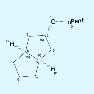 CCCCCO[C@@H]1C[C@H]2CCC[C@H]2C1